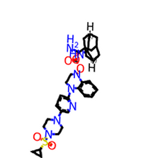 NC(=O)C12CC3C[C@H](C1)C(NC(=O)ON1CCN(c4ccc(N5CCN(S(=O)(=O)C6CC6)CC5)cn4)c4ccccc41)[C@@H](C3)C2